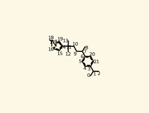 CC(C)c1ccc(C(C)CCC(C)(C)c2ccn(C)c2)cc1